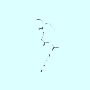 C=C=C=C=C=C(C)OC(=O)CCC(=O)N(CC(C)=O)CC(C)=O